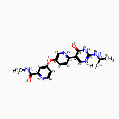 CNC(=O)c1cc(Oc2ccc(-c3cnc(NC(C)C)[nH]c3=O)nc2)ccn1